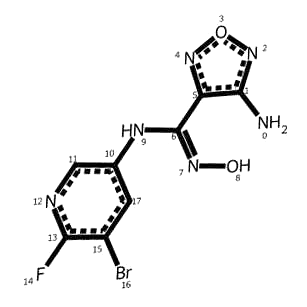 Nc1nonc1C(=NO)Nc1cnc(F)c(Br)c1